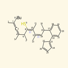 CCC(C)C(C)=C=C(C)C(C)/C(S)=C(C)\C(C)=C/C(C)c1ccccc1C1=CC=CC1